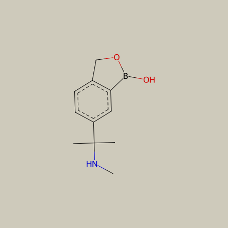 CNC(C)(C)c1ccc2c(c1)B(O)OC2